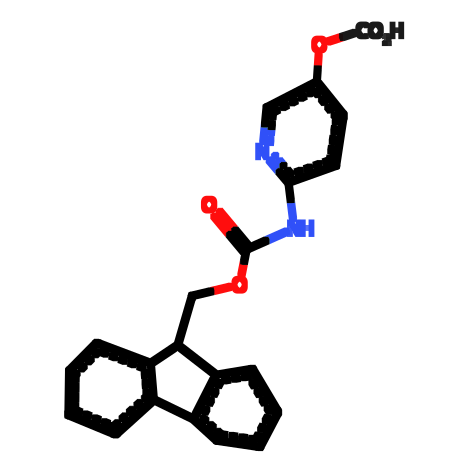 O=C(O)Oc1ccc(NC(=O)OCC2c3ccccc3-c3ccccc32)nc1